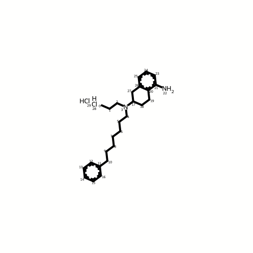 CCCN(CCCCCCCc1ccccc1)C1CCc2c(N)cccc2C1.Cl.Cl